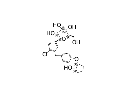 OC[C@H]1O[C@@H](c2ccc(Cl)c(Cc3ccc(O[C@@H]4CCC[C@@H]4O)cc3)c2)[C@H](O)[C@@H](O)[C@@H]1O